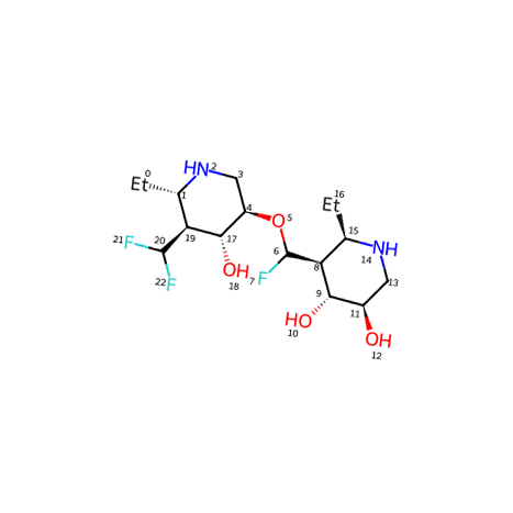 CC[C@@H]1NC[C@@H](OC(F)[C@@H]2[C@@H](O)[C@H](O)CN[C@@H]2CC)[C@H](O)[C@H]1C(F)F